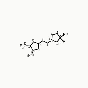 CC(C)N1CC(CCN2CCC(F)(F)C2)CC1C(F)(F)F